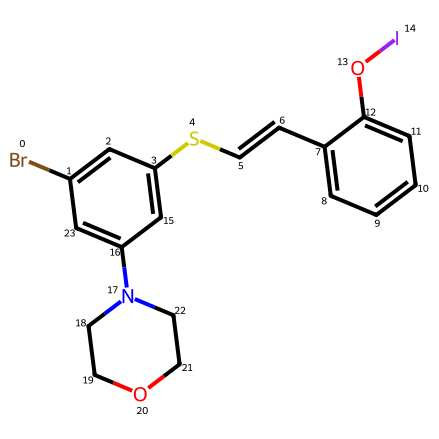 Brc1cc(S/C=C/c2ccccc2OI)cc(N2CCOCC2)c1